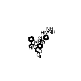 CCOC(=O)CC(NC(=O)C(CC)c1ccccc1)c1cccc(NS(=O)(=O)c2cccc(NC(=N)N)c2)c1